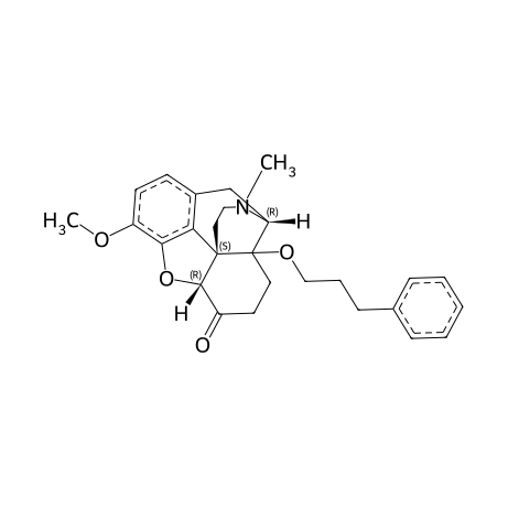 COc1ccc2c3c1O[C@H]1C(=O)CCC4(OCCCc5ccccc5)[C@@H](C2)N(C)CC[C@]314